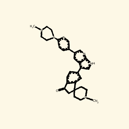 CN1CCN(c2ccc(-c3cnc4[nH]cc(-c5ccc6c(c5)C5(CCN(C)CC5)CC6=O)c4c3)cn2)CC1